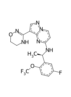 C[C@@H](Nc1ccn2ncc(C3=NOCCN3)c2n1)c1cc(F)ccc1OC(F)(F)F